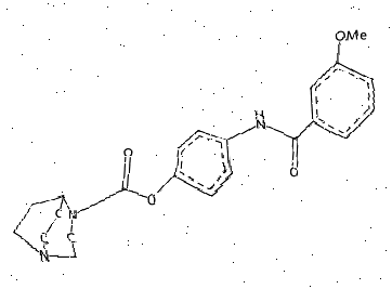 COc1cccc(C(=O)Nc2ccc(OC(=O)N3CCN4CCC3CC4)cc2)c1